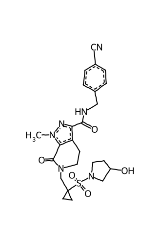 Cn1nc(C(=O)NCc2ccc(C#N)cc2)c2c1C(=O)N(CC1(S(=O)(=O)N3CCC(O)C3)CC1)CC2